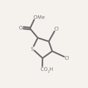 COC(=O)C1SC(C(=O)O)C(Cl)C1Cl